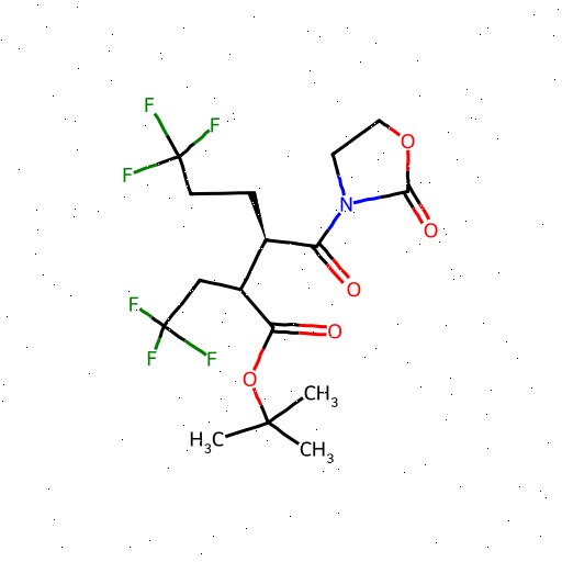 CC(C)(C)OC(=O)C(CC(F)(F)F)[C@@H](CCC(F)(F)F)C(=O)N1CCOC1=O